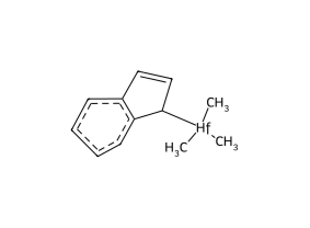 [CH3][Hf]([CH3])([CH3])[CH]1C=Cc2ccccc21